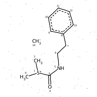 C[S+](C)C(=O)NCCc1ccccc1.[CH3-]